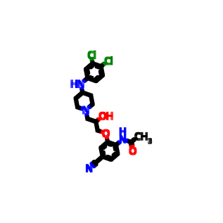 CC(=O)Nc1ccc(C#N)cc1OCC(O)CN1CCC(Nc2ccc(Cl)c(Cl)c2)CC1